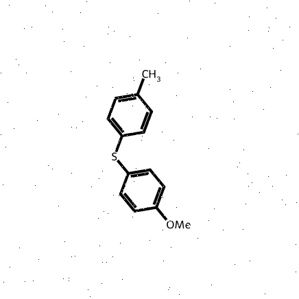 COc1ccc(Sc2ccc(C)cc2)cc1